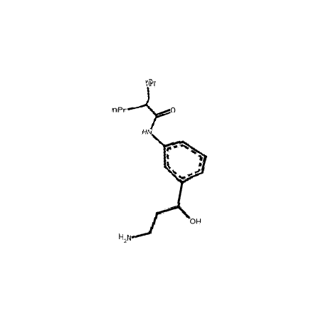 CCCC(CCC)C(=O)Nc1cccc(C(O)CCN)c1